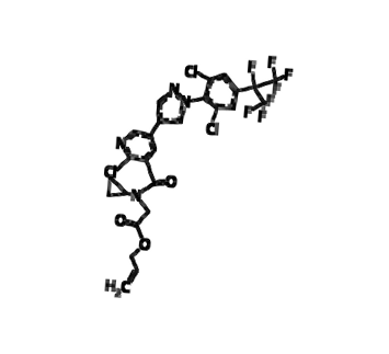 C=CCOC(=O)CN(C(=O)c1cc(-c2cnn(-c3c(Cl)cc(C(F)(C(F)(F)F)C(F)(F)F)cc3Cl)c2)cnc1Cl)C1CC1